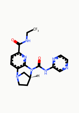 O=C(NCC(F)(F)F)c1ccc2c(n1)N(C(=O)Nc1cnccn1)[C@H]1CCN2C1